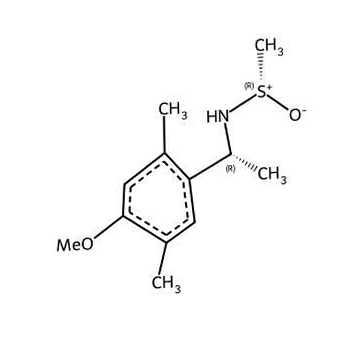 COc1cc(C)c([C@@H](C)N[S@+](C)[O-])cc1C